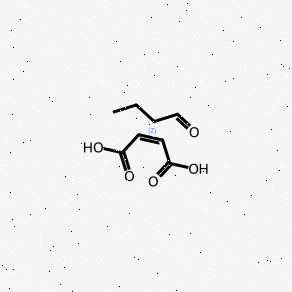 CCCC=O.O=C(O)/C=C\C(=O)O